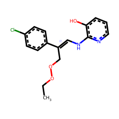 CCOOC/C(=C\Nc1ncccc1O)c1ccc(Cl)cc1